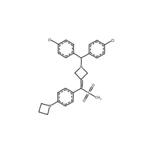 CS(=O)(=O)C(=C1CN(C(c2ccc(Cl)cc2)c2ccc(Cl)cc2)C1)c1ccc(N2CCC2)cc1